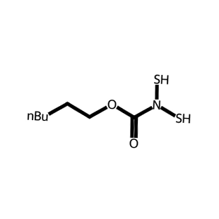 CCCCCCOC(=O)N(S)S